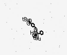 CC(C)(C)OC(=O)N[C@H](COCc1ccc(C(=O)OC(C)(C)C)cc1)Cc1ccccc1